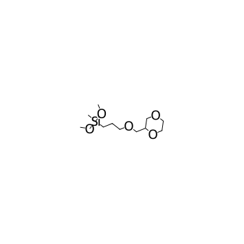 CO[Si](C)(CCCOCC1COCCO1)OC